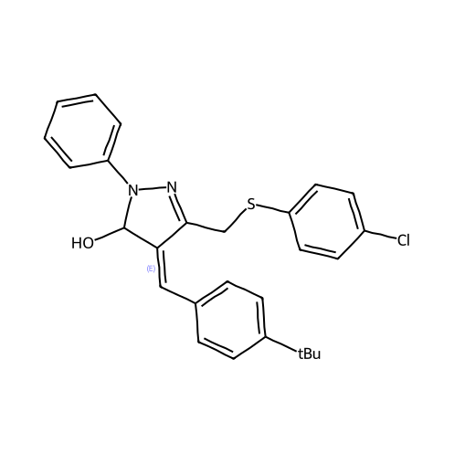 CC(C)(C)c1ccc(/C=C2\C(CSc3ccc(Cl)cc3)=NN(c3ccccc3)C2O)cc1